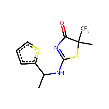 CC(NC1=NC(=O)C(C)(C(F)(F)F)S1)c1cccs1